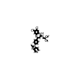 COC(CNC1=Nc2cc(Cl)c(Cl)cc2N=C(c2ccc(-n3c(C)nc4cnccc43)cc2)C1)OC